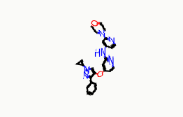 c1ccc(-c2nn(C3CC3)cc2Oc2ccnc(Nc3ccnc(N4CCOCC4)c3)c2)cc1